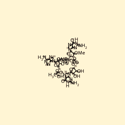 CO[C@H]1C(OP(=O)(O)OC[C@H]2O[C@@H](n3cnc4c(=O)[nH]c(N)nc43)[C@@H](OC)C2OP(=O)(O)OC[C@H]2O[C@@H](n3cnc4c(=O)[nH]c(N)nc43)[C@@H](O)C2O)[C@@H](COP(C)(=O)O)O[C@H]1n1cnc2c(N)ncnc21